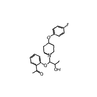 CC(=O)c1ccccc1OC(C(C)O)N1CCC(Oc2ccc(F)cc2)CC1